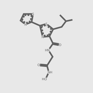 CC(C)Cc1sc(-c2nccs2)nc1C(=O)NCC(=O)NO